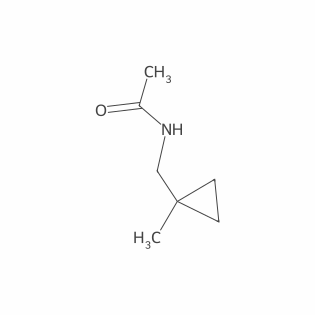 CC(=O)NCC1(C)CC1